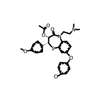 COc1ccc([C@H]2Sc3cc(Oc4ccc(Cl)cc4)ccc3N(CCN(C)C)C(=O)[C@H]2OC(C)=O)cc1